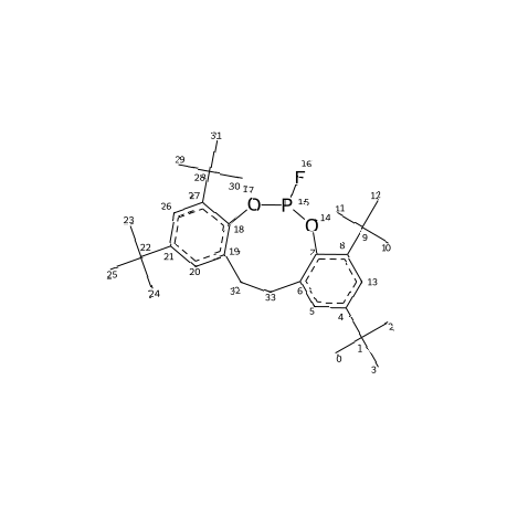 CC(C)(C)c1cc2c(c(C(C)(C)C)c1)OP(F)Oc1c(cc(C(C)(C)C)cc1C(C)(C)C)CC2